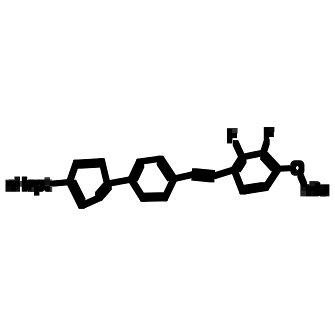 CCCCCCCc1ccc(-c2ccc(C#Cc3ccc(OCCCC)c(F)c3F)cc2)cc1